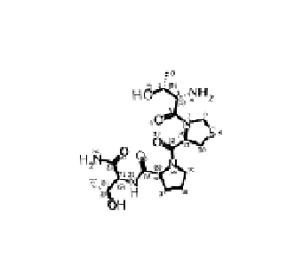 C[C@@H](O)[C@H](N)C(=O)N1CSC[C@H]1C(=O)N1CCC[C@H]1C(=O)N[C@H](C(N)=O)[C@@H](C)O